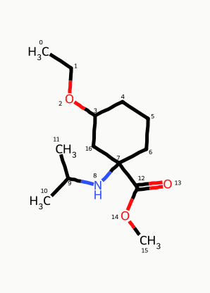 CCOC1CCCC(NC(C)C)(C(=O)OC)C1